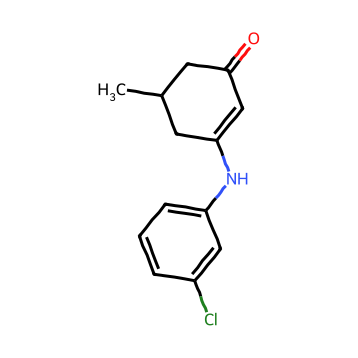 CC1CC(=O)C=C(Nc2cccc(Cl)c2)C1